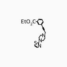 CCOC(=O)c1cccc(C#CCN2CCN(c3nccs3)CC2)c1